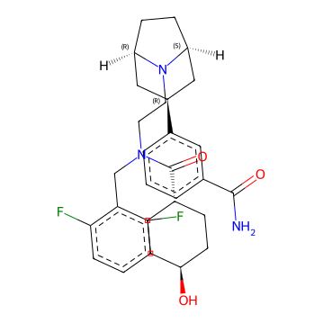 NC(=O)c1cccc([C@H]2C[C@H]3CC[C@@H](C2)N3CCN(Cc2c(F)cccc2F)C(=O)[C@H]2CC[C@H](O)CC2)c1